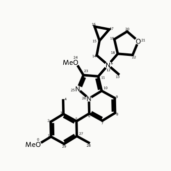 COc1cc(C)c(-c2cccc3c([N+](C)(CC4CC4)C4CCOC4)c(OC)nn23)c(C)c1